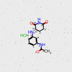 CC(=O)Nc1cccc(N[C@H]2CCC(=O)NC2=O)c1.Cl